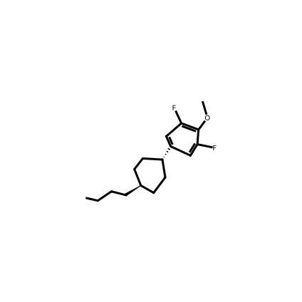 CCCC[C@H]1CC[C@H](c2cc(F)c(OC)c(F)c2)CC1